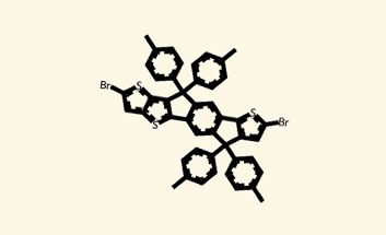 Cc1ccc(C2(c3ccc(C)cc3)c3cc4c(cc3-c3sc(Br)cc32)C(c2ccc(C)cc2)(c2ccc(C)cc2)c2c-4sc3cc(Br)sc23)cc1